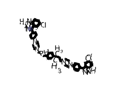 C/N=C(/c1ccc(N2CCN(CPCc3ccc(C(C)(C)CCN4CCN(c5ccc(-c6n[nH]c7ccc(Cl)cc67)cc5)CC4)cc3)CC2)cc1)c1cc(Cl)ccc1N